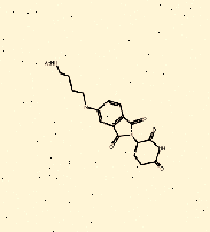 CC(=O)NCCCCNc1ccc2c(c1)C(=O)N(C1CCC(=O)NC1=O)C2=O